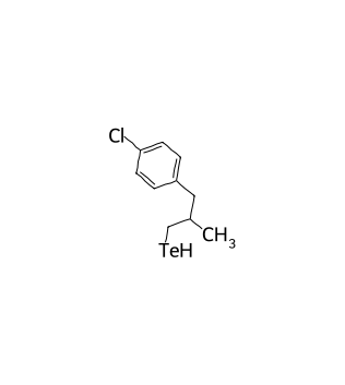 CC(C[TeH])Cc1ccc(Cl)cc1